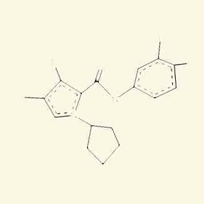 Cc1cn(C2CCCC2)c(C(=O)Nc2ccc(F)c(F)c2)c1F